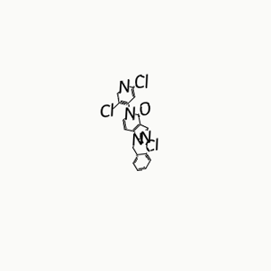 O=c1c2cnn(Cc3ccccc3Cl)c2ccn1-c1cc(Cl)ncc1Cl